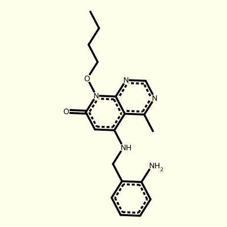 CCCCOn1c(=O)cc(NCc2ccccc2N)c2c(C)ncnc21